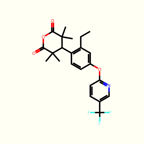 CCc1cc(Oc2ccc(C(F)(F)F)cn2)ccc1C1C(C)(C)C(=O)OC(=O)C1(C)C